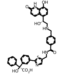 O=C(NCc1cnc(-c2cccc([C@](O)(C(=O)O)c3ccccc3)c2)s1)c1ccc(CNC[C@H](O)c2ccc(O)c3[nH]c(=O)ccc23)cc1